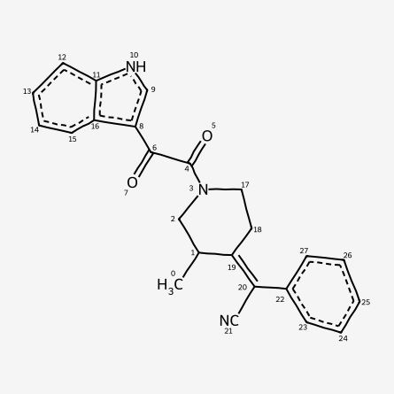 CC1CN(C(=O)C(=O)c2c[nH]c3ccccc23)CC/C1=C(/C#N)c1ccccc1